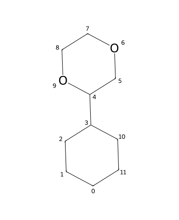 C1CCC(C2COCCO2)CC1